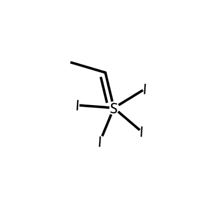 CC=S(I)(I)(I)I